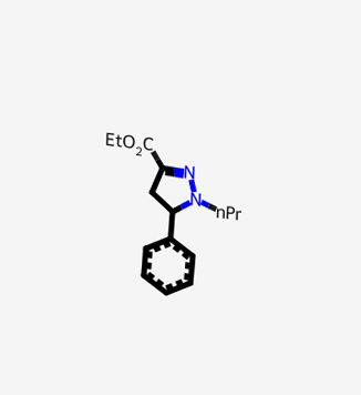 CCCN1N=C(C(=O)OCC)CC1c1ccccc1